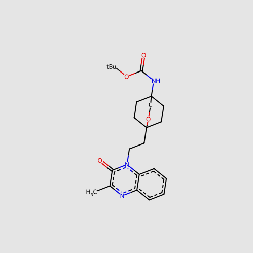 Cc1nc2ccccc2n(CCC23CCC(NC(=O)OC(C)(C)C)(CC2)CO3)c1=O